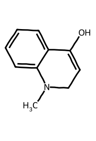 CN1CC=C(O)c2ccccc21